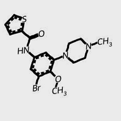 COc1c(Br)cc(NC(=O)c2cccs2)cc1N1CCN(C)CC1